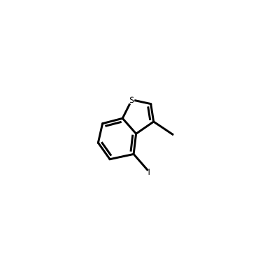 Cc1csc2cccc(I)c12